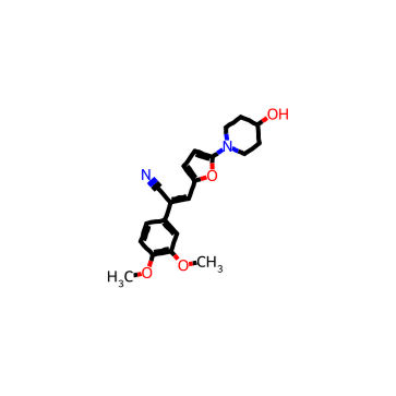 COc1ccc(C(C#N)=Cc2ccc(N3CCC(O)CC3)o2)cc1OC